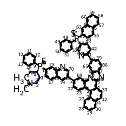 C=N/C=C\C(=C/C)P(=S)(c1ccccc1)c1ccc2cc(-c3ccc4c5c6ccccc6ccc5c5nc6ccc(-c7ccc(P(=S)(c8ccccc8)c8ccc9ccccc9c8)cn7)cc6n5c4c3)cnc2c1